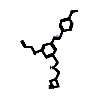 C=CCOc1cc(/C=C/c2ccc(OC)cc2)cc(CNCC2CNC2)c1